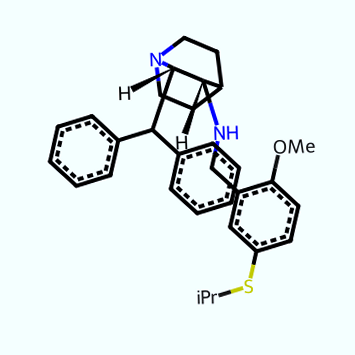 COc1ccc(SC(C)C)cc1CN[C@H]1C2CCN(CC2)[C@H]1C(c1ccccc1)c1ccccc1